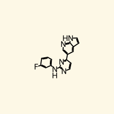 Fc1cccc(Nc2nccc(-c3cnc4[nH]ccc4c3)n2)c1